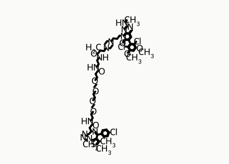 C=C(CN1CCN(CCCn2c(=O)c(-c3c(Cl)c(OC)cc(OC)c3Cl)cc3cnc(NC)nc32)CC1)C(=O)NCCNC(=O)CCOCCOCCOCCOCCNC(=O)CC1N=C(c2ccc(Cl)cc2)c2c(sc(C)c2C)-n2c(C)nnc21